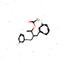 CCC(=O)OC(C)C(Cc1cccc(F)c1)Cc1cccc(F)c1